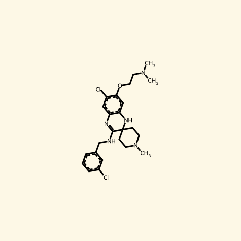 CN(C)CCOc1cc2c(cc1Cl)N=C(NCc1cccc(Cl)c1)C1(CCN(C)CC1)N2